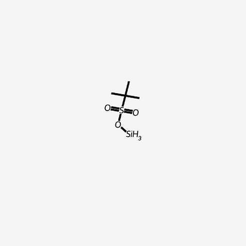 CC(C)(C)S(=O)(=O)O[SiH3]